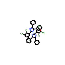 Clc1cc(Cl)c(Cl)c(-c2nc(-c3ccccc3)c(-c3ccccc3)n2C2(c3cc(Cl)cc(Cl)c3Cl)N=C(c3ccccc3)C(c3ccccc3)=N2)c1